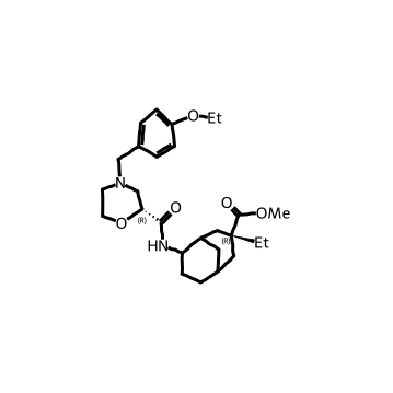 CCOc1ccc(CN2CCO[C@@H](C(=O)NC3CCC4CC3C[C@](CC)(C(=O)OC)C4)C2)cc1